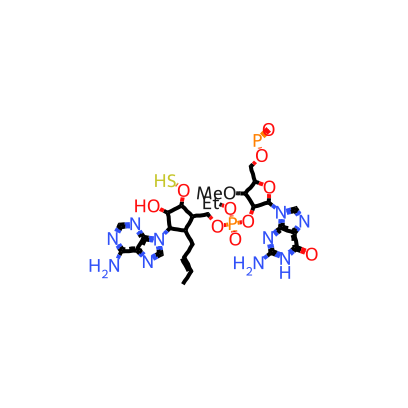 C/C=C/CC1C(COP(=O)(OCC)OC2C(OC)C(COP=O)OC2n2cnc3c(=O)[nH]c(N)nc32)C(OS)C(O)C1n1cnc2c(N)ncnc21